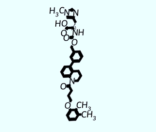 Cc1cccc(OCCCC(=O)N2CCCc3c(-c4cccc(COC(=O)N[C@@H](Cc5cn(C)cn5)C(=O)O)c4)cccc32)c1C